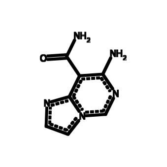 NC(=O)c1c(N)ncn2ccnc12